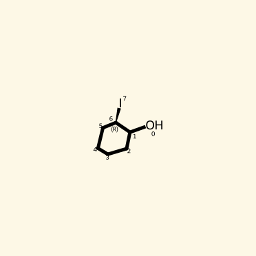 OC1CCCC[C@H]1I